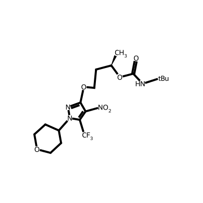 C[C@H](CCOc1nn(C2CCOCC2)c(C(F)(F)F)c1[N+](=O)[O-])OC(=O)NC(C)(C)C